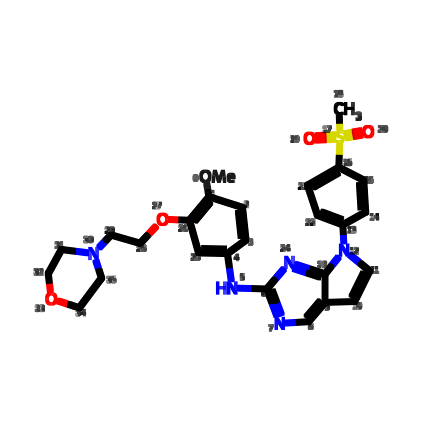 COc1ccc(Nc2ncc3ccn(-c4ccc(S(C)(=O)=O)cc4)c3n2)cc1OCCN1CCOCC1